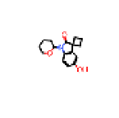 O=C1N(C2CCCCO2)c2ccc(O)cc2C12CCC2